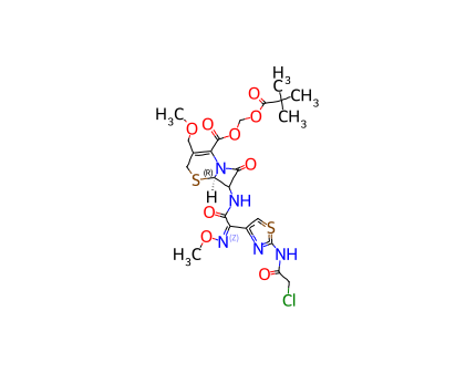 COCC1=C(C(=O)OCOC(=O)C(C)(C)C)N2C(=O)C(NC(=O)/C(=N\OC)c3csc(NC(=O)CCl)n3)[C@H]2SC1